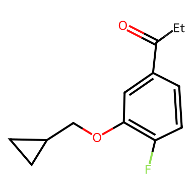 CCC(=O)c1ccc(F)c(OCC2CC2)c1